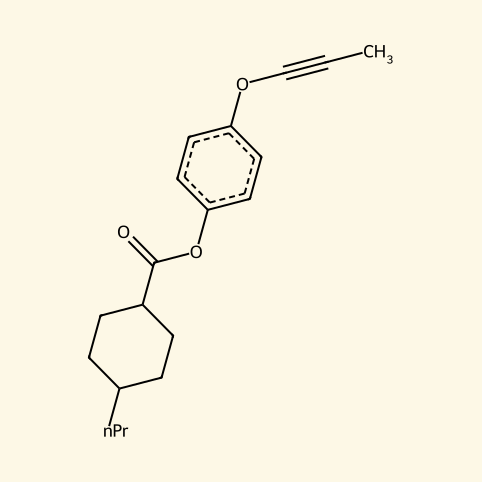 CC#COc1ccc(OC(=O)C2CCC(CCC)CC2)cc1